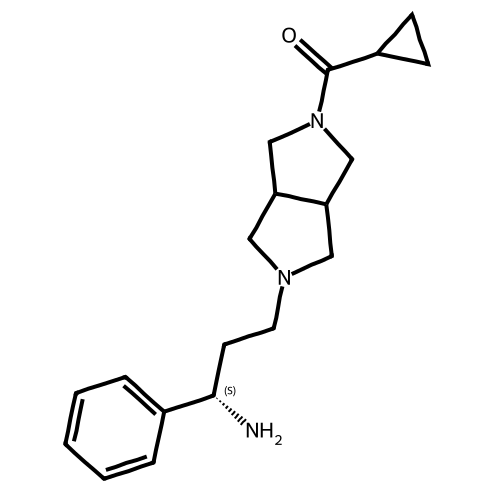 N[C@@H](CCN1CC2CN(C(=O)C3CC3)CC2C1)c1ccccc1